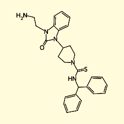 NCCn1c(=O)n(C2CCN(C(=S)NC(c3ccccc3)c3ccccc3)CC2)c2ccccc21